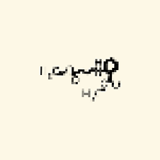 CCOC(=O)CCCNc1ccccc1C(=O)OCC